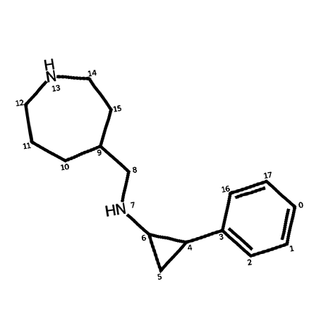 c1ccc(C2CC2NCC2CCCNCC2)cc1